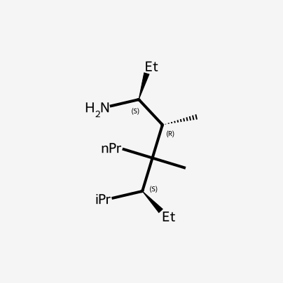 CCCC(C)([C@@H](CC)C(C)C)[C@@H](C)[C@@H](N)CC